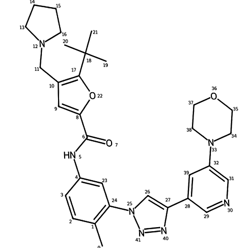 Cc1ccc(NC(=O)c2cc(CN3CCCC3)c(C(C)(C)C)o2)cc1-n1cc(-c2cncc(N3CCOCC3)c2)nn1